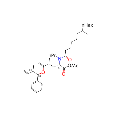 C=C[C@@H](C)[C@@H](OC(=C)C(C)C[C@@H](C(=O)OC)N(CCC)C(=O)CCCCCC(C)CCCCCC)c1ccccc1